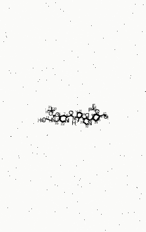 Cc1c(NC(=O)c2ccc(CN(CCO)C(=O)OC(C)(C)C)cn2)cccc1-c1ccnc(-c2ccc(C=O)c(OC(F)F)c2)c1Cl